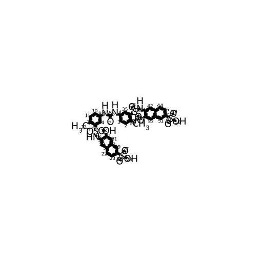 Cc1ccc(NC(=O)Nc2ccc(C)c(S(=O)(=O)Nc3cc4ccc(S(=O)(=O)O)cc4cc3O)c2)cc1S(=O)(=O)Nc1cc2ccc(S(=O)(=O)O)cc2cc1O